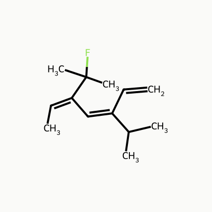 C=C/C(=C\C(=C/C)C(C)(C)F)C(C)C